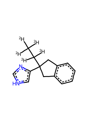 [2H]C([2H])([2H])C([2H])([2H])C1(c2c[nH]cn2)Cc2ccccc2C1